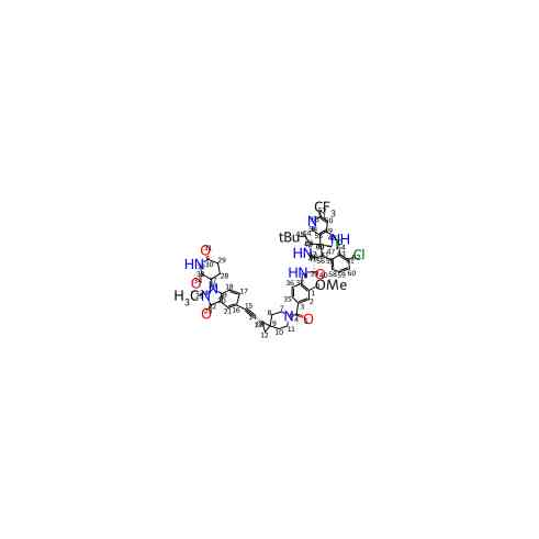 COc1cc(C(=O)N2CCC3(CC2)C[C@@H]3C#Cc2ccc3c(c2)c(=O)n(C)n3C2CCC(=O)NC2=O)ccc1NC(=O)[C@@H]1N[C@@H](CC(C)(C)C)[C@@]2(CNc3cc(C(F)(F)F)ncc32)[C@H]1c1cccc(Cl)c1F